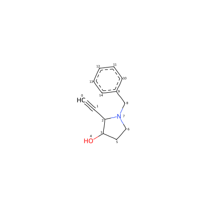 C#CC1C(O)CCN1Cc1ccccc1